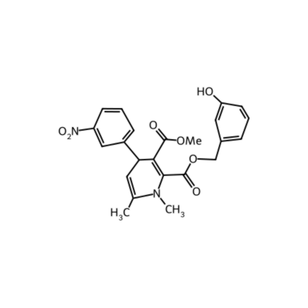 COC(=O)C1=C(C(=O)OCc2cccc(O)c2)N(C)C(C)=CC1c1cccc([N+](=O)[O-])c1